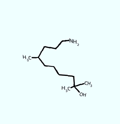 CC(CCCN)CCCCC(C)(C)O